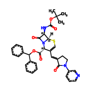 CC(C)(C)OC(=O)N[C@@H]1C(=O)N2[C@@H](C(=O)OC(c3ccccc3)c3ccccc3)C(C=C3CCN(c4cccnc4)C3=O)=CS[C@H]12